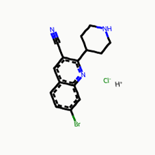 N#Cc1cc2ccc(Br)cc2nc1C1CCNCC1.[Cl-].[H+]